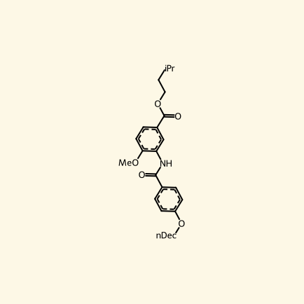 CCCCCCCCCCOc1ccc(C(=O)Nc2cc(C(=O)OCCC(C)C)ccc2OC)cc1